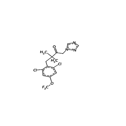 CC(C)(Cc1c(Cl)cc(OC(F)(F)F)cc1Cl)C(=O)Cn1cncn1